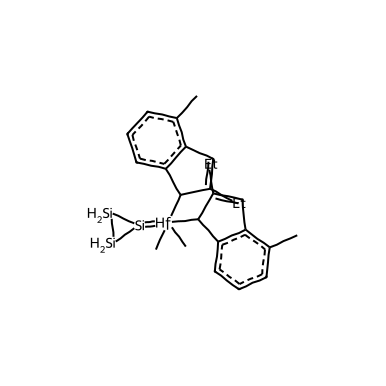 CCC1=Cc2c(C)cccc2[CH]1[Hf]([CH3])([CH3])([CH]1C(CC)=Cc2c(C)cccc21)=[Si]1[SiH2][SiH2]1